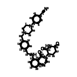 N#Cc1ccc(N2CCN(Cc3ccc(CNc4cccc5ncn(C6CCC(=O)NC6=O)c(=O)c45)cc3)CC2)cc1